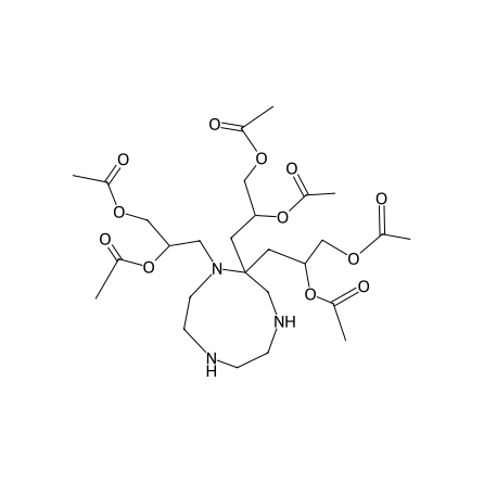 CC(=O)OCC(CN1CCNCCNCC1(CC(COC(C)=O)OC(C)=O)CC(COC(C)=O)OC(C)=O)OC(C)=O